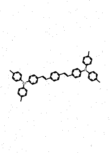 Cc1ccc(N(c2ccc(C)cc2)c2ccc(/C=C/c3ccc(/C=C/c4ccc([As](c5ccc(C)cc5)c5ccc(C)cc5)cc4)cc3)cc2)cc1